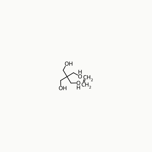 C=C.OCC(CO)(CO)CO